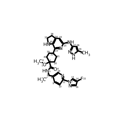 COC1(C(=O)N[C@@H](C)c2ccc(-n3cc(F)cn3)nc2)CCC(c2nc(Nc3cc(C)[nH]n3)cc3c2NCC3)CC1